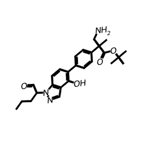 CCCC(C=O)n1ncc2c(O)c(-c3ccc(C(C)(CN)C(=O)OC(C)(C)C)cc3)ccc21